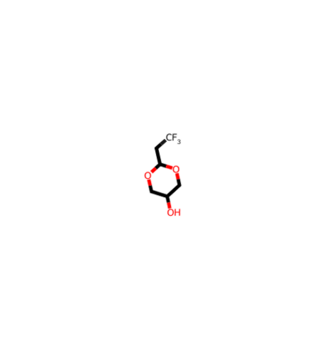 OC1COC(CC(F)(F)F)OC1